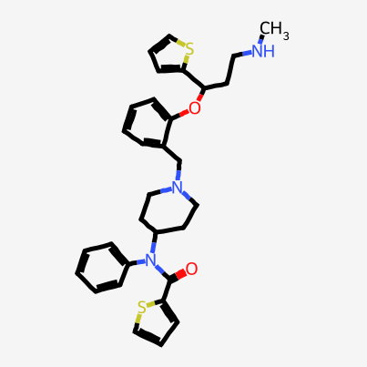 CNCCC(Oc1ccccc1CN1CCC(N(C(=O)c2cccs2)c2ccccc2)CC1)c1cccs1